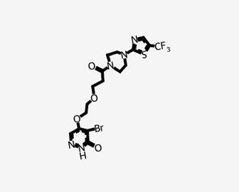 O=C(CCOCCOc1cn[nH]c(=O)c1Br)N1CCN(c2ncc(C(F)(F)F)s2)CC1